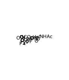 CC(=O)NC[C@H]1CN(c2ccc(N[C@@H]3CCN(C4(c5cc6c(cc5F)c(=O)ccn6C(=O)O)CC4)C3)c(F)c2)C(=O)O1